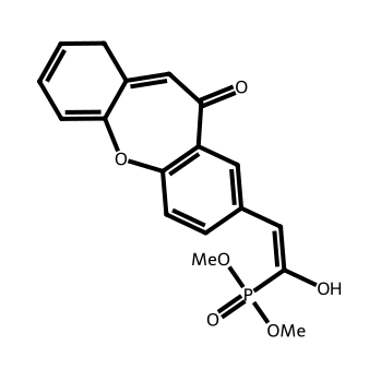 COP(=O)(OC)C(O)=Cc1ccc2c(c1)C(=O)C=C1CC=CC=C1O2